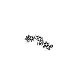 Cc1cc(N2CCC3(CCN(CC(O)c4ccc5c(c4C)COC5=O)CC3)C2)cnc1S(C)(=O)=O